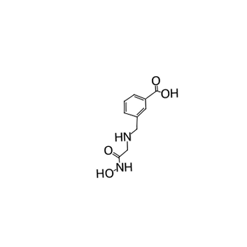 O=C(CNCc1cccc(C(=O)O)c1)NO